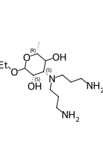 CCOC1O[C@H](C)C(O)[C@H](N(CCCN)CCCN)[C@@H]1O